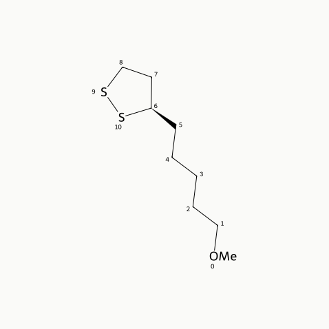 COCCCCC[C@@H]1CCSS1